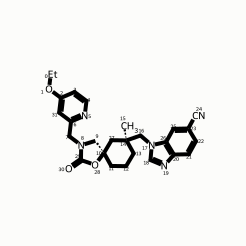 CCOc1ccnc(CN2C[C@]3(CCC[C@](C)(Cn4cnc5ccc(C#N)cc54)C3)OC2=O)c1